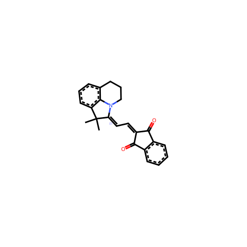 CC1(C)/C(=C/C=C2C(=O)c3ccccc3C2=O)N2CCCc3cccc1c32